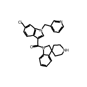 O=C(c1cn(Cc2cccnc2)c2cc(Cl)ccc12)N1CC2(CCNCC2)c2ccccc21